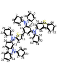 c1ccc(N(c2ccccc2)c2cc(-c3ccc(N(c4ccccc4)c4ccc5c6ccccc6n(-c6ccccc6)c5c4)s3)cc(N(c3ccccc3)c3ccc4sc5ccccc5c4c3)c2)cc1